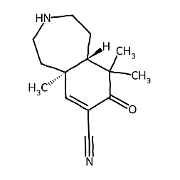 CC1(C)C(=O)C(C#N)=C[C@@]2(C)CCNCC[C@H]12